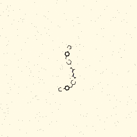 C=N/C(=C\C=C(/C)C(=O)NC1CCN(Cc2ccc(N3CCCC3)cc2)CC1)C(=O)N1CCC(C(=O)c2ccc(N3CCCC3)cc2)CC1